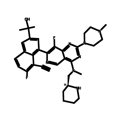 C#Cc1c(F)ccc2cc(C(C)(C)O)cc(-c3ncc4c(N(C)C[C@@H]5CCCCN5)nc(N5CCN(C)CC5)nc4c3F)c12